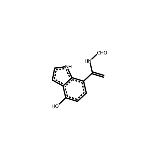 C=C(NC=O)c1ccc(O)c2cc[nH]c12